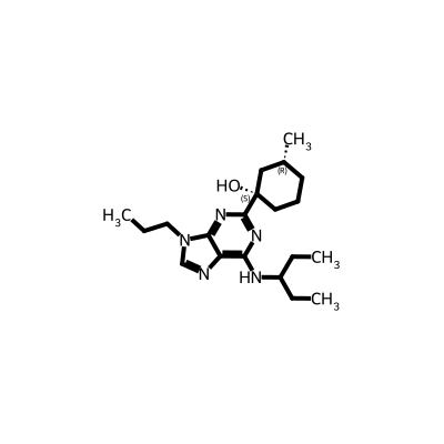 CCCn1cnc2c(NC(CC)CC)nc([C@]3(O)CCC[C@@H](C)C3)nc21